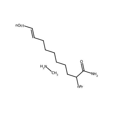 CCCCCCCCC=CCCCCCCC(CCC)C(N)=O.CN